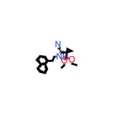 CCOC(OCC)C1([C@H](C#N)NCCc2cccc3ccccc23)CC1